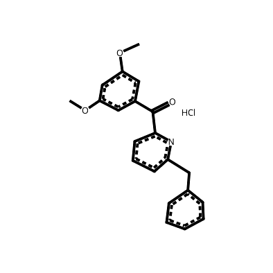 COc1cc(OC)cc(C(=O)c2cccc(Cc3ccccc3)n2)c1.Cl